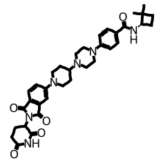 CC1(C)CC[C@@H]1NC(=O)c1ccc(N2CCN(C3CCN(c4ccc5c(c4)C(=O)N(C4CCC(=O)NC4=O)C5=O)CC3)CC2)cc1